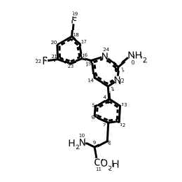 Nc1nc(-c2ccc(CC(N)C(=O)O)cc2)cc(-c2cc(F)cc(F)c2)n1